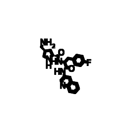 NC[C@@H]1CN[C@@H](C(=O)NC(Cc2ccc(F)cc2)C(=O)Nc2cnc3ccccc3c2)C1